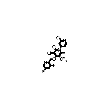 Cc1c(C(F)(F)F)c(OCc2ncc(F)cc2F)c(Cl)c(=O)n1-c1ccnc(Cl)c1